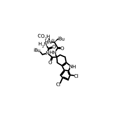 CCC(C)CN(C(N)=O)C(=O)C1(NC(=O)[C@@H](NC(=O)O)C(C)CC)CCc2[nH]c3c(Cl)cc(Cl)cc3c2C1